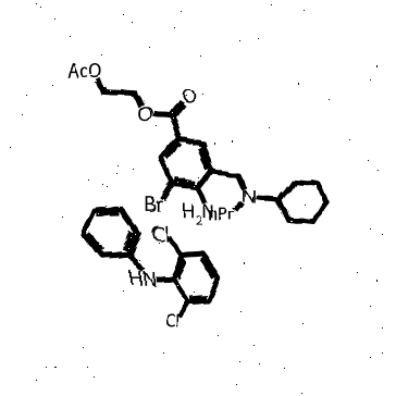 CCCN(Cc1cc(C(=O)OCCOC(C)=O)cc(Br)c1N)C1CCCCC1.Clc1cccc(Cl)c1Nc1ccccc1